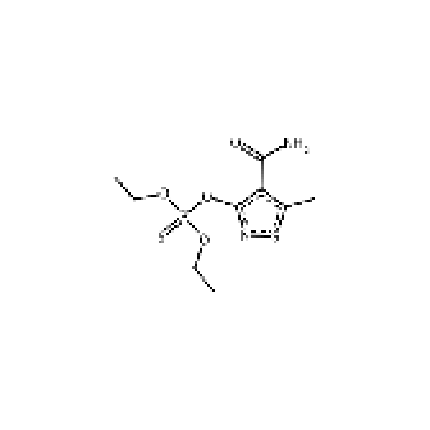 CCOP(=S)(OCC)Oc1nsc(C)c1C(N)=O